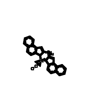 CCCCC1=Cc2c(ccc3ccccc23)[CH]1[Hf+2]1([CH]2C(CCCC)=Cc3c2ccc2ccccc32)[CH2][CH2]1.[Cl-].[Cl-]